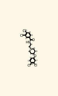 O=C(NCCN1CCC(Oc2ccc(Cl)c(Cl)c2)CC1)c1ccc(Cl)c(Cl)c1